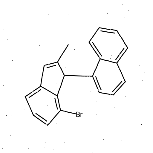 CC1=Cc2cccc(Br)c2C1c1cccc2ccccc12